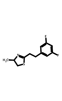 CC1CSC(CCc2cc(F)cc(F)c2)=N1